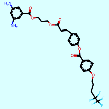 Nc1cc(N)cc(C(=O)OCCCOC(=O)C=Cc2ccc(OC(=O)c3ccc(OCCCC(F)(F)C(F)(F)F)cc3)cc2)c1